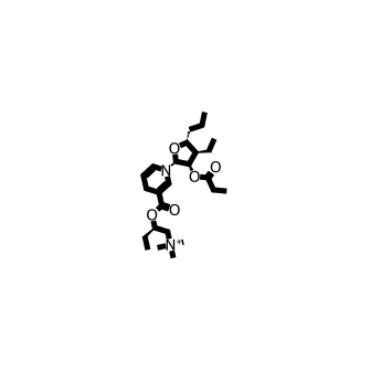 CCC[C@H]1O[C@@H](N2C=CCC(C(=O)O[C@H](CC)C[N+](C)(C)C)=C2)[C@H](OC(=O)CC)[C@@H]1CC